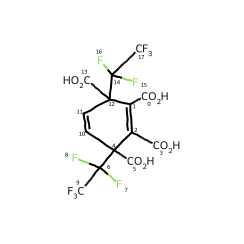 O=C(O)C1=C(C(=O)O)C(C(=O)O)(C(F)(F)C(F)(F)F)C=CC1(C(=O)O)C(F)(F)C(F)(F)F